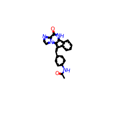 CC(=O)Nc1ccc(C=c2c3ccccc3c3[nH]c(=O)c4nccn4c23)cc1